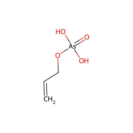 C=CCO[As](=O)(O)O